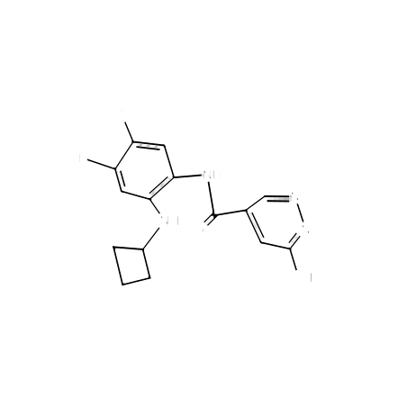 Cc1cc(C(=O)Nc2cc(F)c(F)cc2NC2CCC2)cnn1